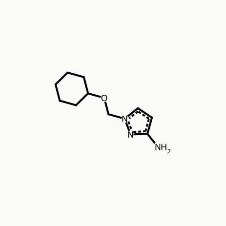 Nc1ccn(COC2CCCCC2)n1